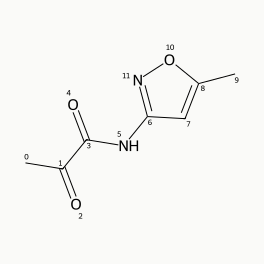 CC(=O)C(=O)Nc1cc(C)on1